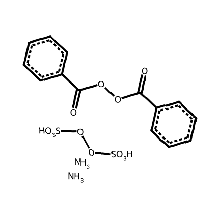 N.N.O=C(OOC(=O)c1ccccc1)c1ccccc1.O=S(=O)(O)OOS(=O)(=O)O